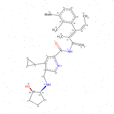 C=C(NC(=O)c1cc(C2CC2)c(CN[C@H]2CCC[C@H]2O)cn1)/C(C)=C(\C=C/C)c1cccc(NC)c1C